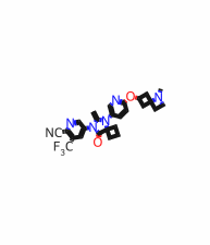 C=C1N(c2cnc(C#N)c(C(F)(F)F)c2)C(=O)C2(CCC2)N1c1ccc(OC2CC3(CCN3C)C2)nc1